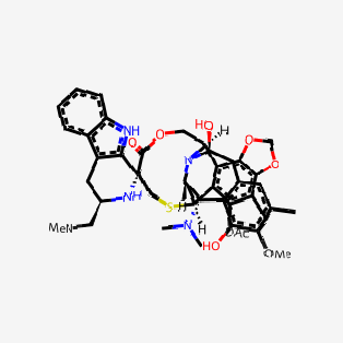 CNC[C@H]1Cc2c([nH]c3ccccc23)[C@@]2(CS[C@@H]3c4c(OC(C)=O)c(C)c5c(c4[C@H](COC2=O)N2[C@@H]3[C@@H](N(C)C)c3c(cc(C)c(OC)c3O)C[C@@H]2O)OCO5)N1